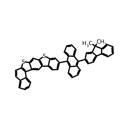 CC1(C)c2ccccc2-c2ccc(-c3c4ccccc4c(-c4ccc5c(c4)sc4cc6sc7ccc8ccccc8c7c6cc45)c4ccccc34)cc21